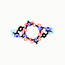 CC(C)C[C@H]1C(=O)O[C@H](Cc2ccc(Cc3cncnc3C(F)(F)F)cc2)C(=O)N(C)[C@@H](CC(C)C)C(=O)O[C@H](C)C(=O)N(C)[C@@H](CC(C)C)C(=O)O[C@H](Cc2ccc(Cc3cncnc3C(F)(F)F)cc2)C(=O)N(C)[C@@H](CC(C)C)C(=O)O[C@H](C)C(=O)N1C